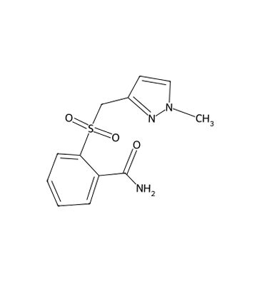 Cn1ccc(CS(=O)(=O)c2ccccc2C(N)=O)n1